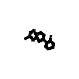 Cc1cnc2ccc(-c3ccccc3F)cc2n1